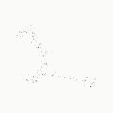 CCCC1(C)CC2(Cn3ncc(-c4ccc(N5CCc6cccc(C(=O)Nc7nc8ccccc8s7)c6C5)nc4C(=O)O)c3C)CCCC(OCCN(C)C(=O)OCc3ccc(O[C@@H]4O[C@H](C(=O)O)[C@@H](O)[C@H](O)[C@H]4O)c(NC(=O)CCNC(=O)CCOCCOCCOCCOCCNC(=O)CCN4C(=O)C=CC4=O)c3)(C1)C2